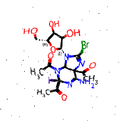 CC(=O)N1C2N([C@@H]3O[C@H](CO)C(O)C3O)C(Br)=NC2(C(C)=O)C(N)=NC1(I)C(C)=O